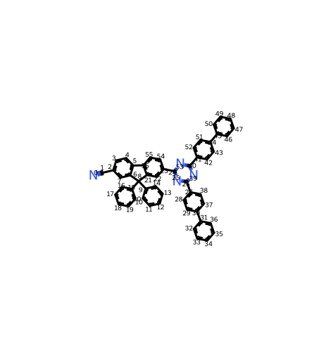 N#Cc1ccc2c(c1)C(c1ccccc1)(c1ccccc1)c1cc(-c3nc(-c4ccc(-c5ccccc5)cc4)nc(-c4ccc(-c5ccccc5)cc4)n3)ccc1-2